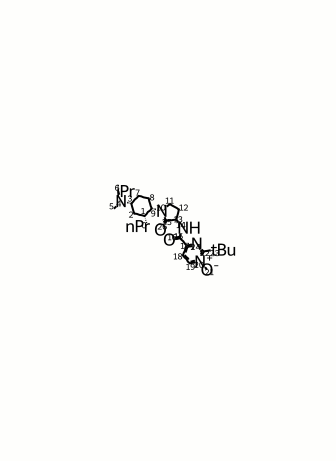 CCC[C@@H]1C[C@H](N(C)C(C)C)CC[C@@H]1N1CCC(NC(=O)c2cc[n+]([O-])c(C(C)(C)C)n2)C1=O